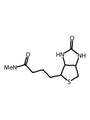 CNC(=O)CCCC1SCC2NC(=O)NC21